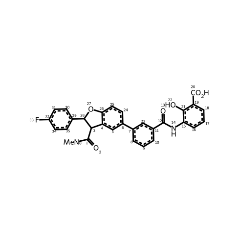 CNC(=O)C1c2cc(-c3cccc(C(=O)Nc4cccc(C(=O)O)c4O)c3)ccc2OC1c1ccc(F)cc1